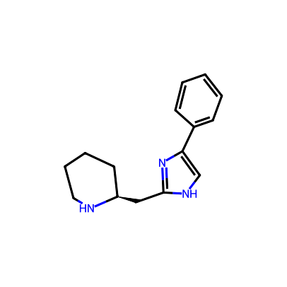 c1ccc(-c2c[nH]c(C[C@@H]3CCCCN3)n2)cc1